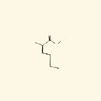 CCCCC(C)C(=O)OO